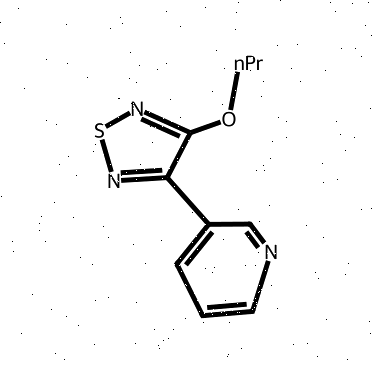 CCCOc1nsnc1-c1cccnc1